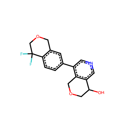 OC1COCc2c(-c3ccc4c(c3)COCC4(F)F)cncc21